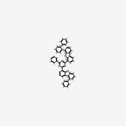 c1ccc(-c2nc(-c3cccc4c3oc3cccc(-c5ccccc5)c34)nc(-c3cccc4c3sc3c(-c5ccccc5-c5ccccc5)cccc34)n2)cc1